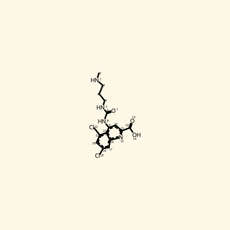 CNCCCNC(=O)Nc1cc(C(=O)O)nc2cc(Cl)cc(Cl)c12